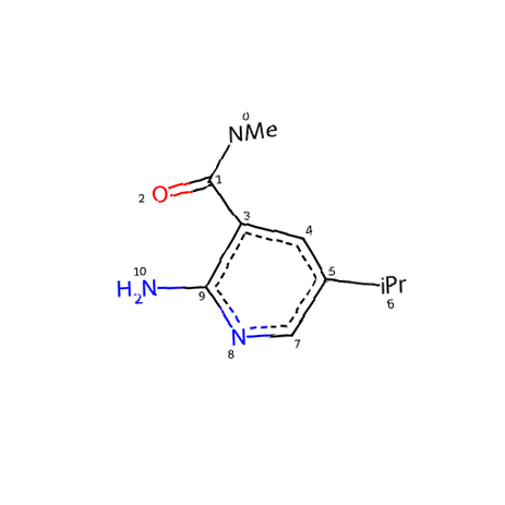 CNC(=O)c1cc(C(C)C)cnc1N